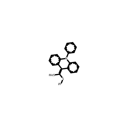 CSC(SC(C)C)=C1c2ccccc2N(c2ccccc2)c2ccccc21